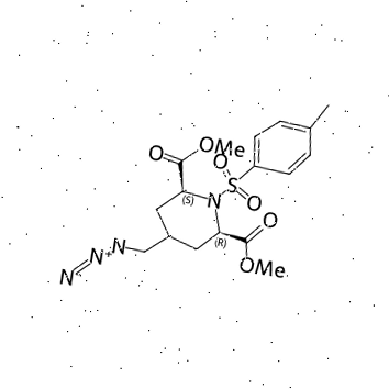 COC(=O)[C@H]1CC(CN=[N+]=[N-])C[C@@H](C(=O)OC)N1S(=O)(=O)c1ccc(C)cc1